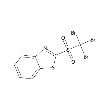 O=S(=O)(c1nc2ccccc2s1)C(Br)(Br)Br